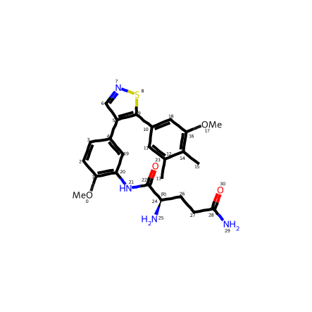 COc1ccc(-c2cnsc2-c2cc(C)c(C)c(OC)c2)cc1NC(=O)[C@H](N)CCC(N)=O